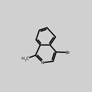 Cc1ncc(Br)c2ccccc12